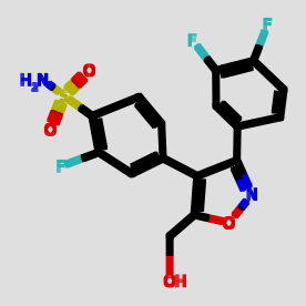 NS(=O)(=O)c1ccc(-c2c(-c3ccc(F)c(F)c3)noc2CO)cc1F